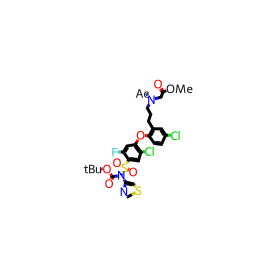 COC(=O)CN(CCCc1cc(Cl)ccc1Oc1cc(F)c(S(=O)(=O)N(C(=O)OC(C)(C)C)c2cscn2)cc1Cl)C(C)=O